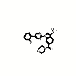 CSc1cn(-c2ncc(-c3ccccc3F)cn2)c2cc(C(=O)N3CCOCC3)ccc12